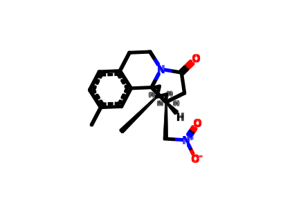 Cc1ccc2c(c1)[C@@]13C[C@H](C)[C@@H](C[N+](=O)[O-])[C@@H]1CC(=O)N3CC2